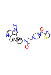 COc1nccc2[nH]cc(-c3cccc(N4CC(N5CCN(C(=O)c6nccs6)CC5)CC4=O)c3)c12